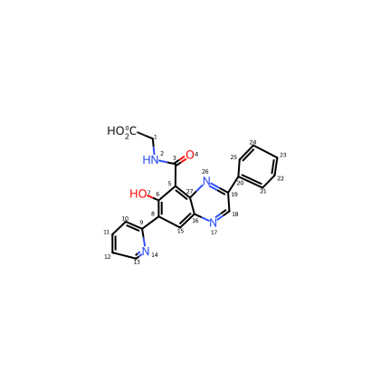 O=C(O)CNC(=O)c1c(O)c(-c2ccccn2)cc2ncc(-c3ccccc3)nc12